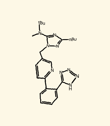 CCCCc1nc(N(C)C(C)(C)C)n(Cc2ccc(-c3ccccc3-c3nnn[nH]3)nc2)n1